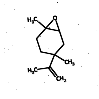 C=C(C)C1(C)CCC2(C)OC2C1